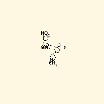 Cc1ccc(N2CCN(C)CC2)c2c1CC[C@@H](NS(=O)(=O)Cc1cccc([N+](=O)[O-])c1)C2